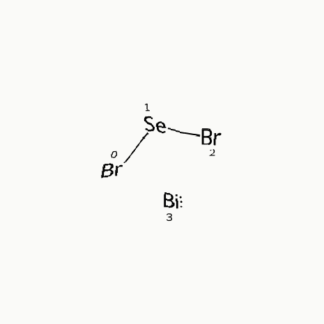 Br[Se]Br.[Bi]